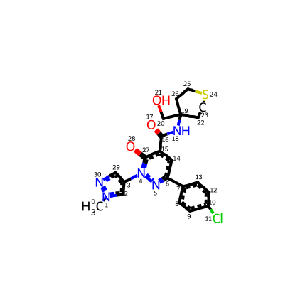 Cn1cc(-n2nc(-c3ccc(Cl)cc3)cc(C(=O)NC3(CO)CCSCC3)c2=O)cn1